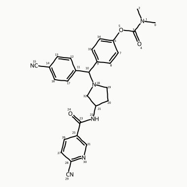 CN(C)C(=O)Oc1ccc(C(c2ccc(C#N)cc2)N2CCC(NC(=O)c3ccc(C#N)nc3)C2)cc1